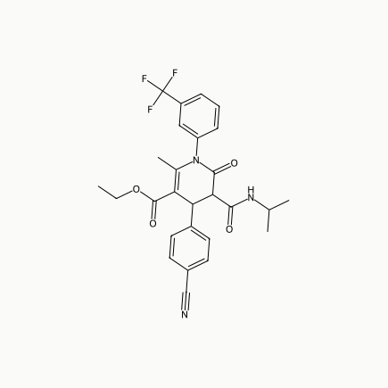 CCOC(=O)C1=C(C)N(c2cccc(C(F)(F)F)c2)C(=O)C(C(=O)NC(C)C)C1c1ccc(C#N)cc1